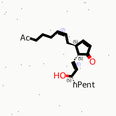 CCCCC[C@H](O)/C=C/[C@H]1C(=O)C=C[C@@H]1C/C=C\CCCC(C)=O